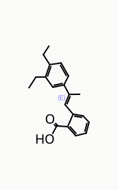 CCc1ccc(/C(C)=C/c2ccccc2C(=O)O)cc1CC